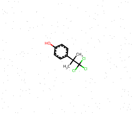 CC(C)(c1ccc(O)cc1)C(Cl)(Cl)Cl